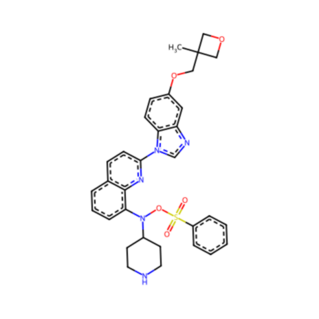 CC1(COc2ccc3c(c2)ncn3-c2ccc3cccc(N(OS(=O)(=O)c4ccccc4)C4CCNCC4)c3n2)COC1